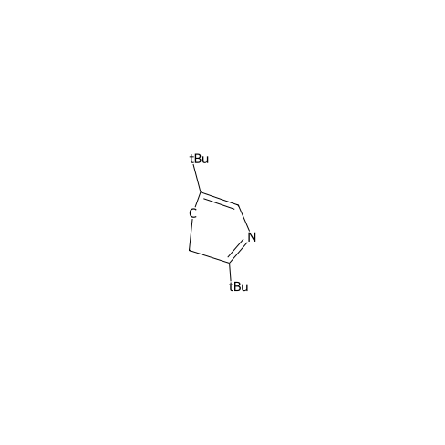 CC(C)(C)C1=CN=C(C(C)(C)C)CC1